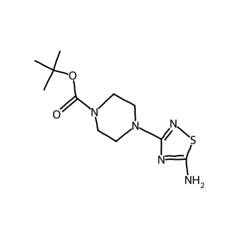 CC(C)(C)OC(=O)N1CCN(c2nsc(N)n2)CC1